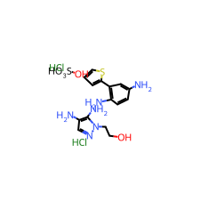 Cl.Cl.Nc1ccc(N)c(-c2cccs2)c1.Nc1cnn(CCO)c1N.O=S(=O)(O)O